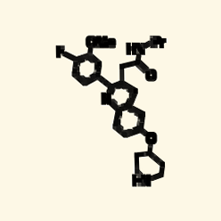 COc1cc(-c2nc3ccc(OC4CCNCC4)cc3cc2CC(=O)NC(C)C)ccc1F